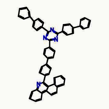 c1ccc(-c2ccc(-c3nc(-c4ccc(-c5ccccc5)cc4)nc(-c4ccc(-c5ccc(-c6nc7ccccc7c7ccc8ccccc8c67)cc5)cc4)n3)cc2)cc1